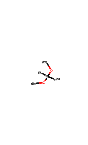 CCCC[Si](CC)(OC(C)(C)C)OC(C)(C)C